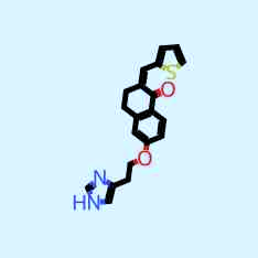 O=C1/C(=C\c2cccs2)CCc2cc(OCCc3c[nH]cn3)ccc21